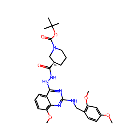 COc1ccc(CNc2nc(NNC(=O)[C@@H]3CCCN(C(=O)OC(C)(C)C)C3)c3cccc(OC)c3n2)c(OC)c1